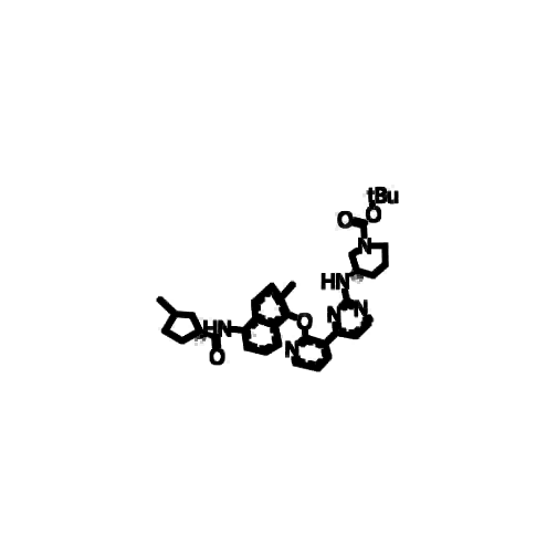 Cc1ccc2c(NC(=O)[C@H]3CCC(C)C3)cccc2c1Oc1ncccc1-c1ccnc(N[C@H]2CCCN(C(=O)OC(C)(C)C)C2)n1